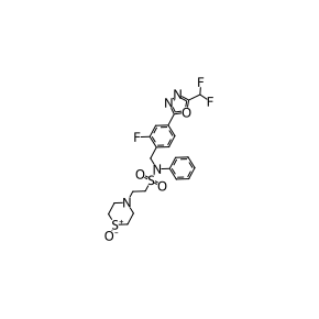 O=S(=O)(CCN1CC[S+]([O-])CC1)N(Cc1ccc(-c2nnc(C(F)F)o2)cc1F)c1ccccc1